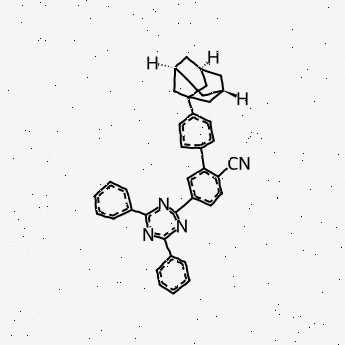 N#Cc1ccc(-c2nc(-c3ccccc3)nc(-c3ccccc3)n2)cc1-c1ccc(C23C[C@H]4C[C@H](C2)C[C@@H](C3)C4)cc1